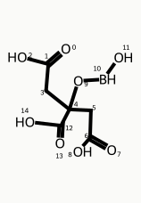 O=C(O)CC(CC(=O)O)(OBO)C(=O)O